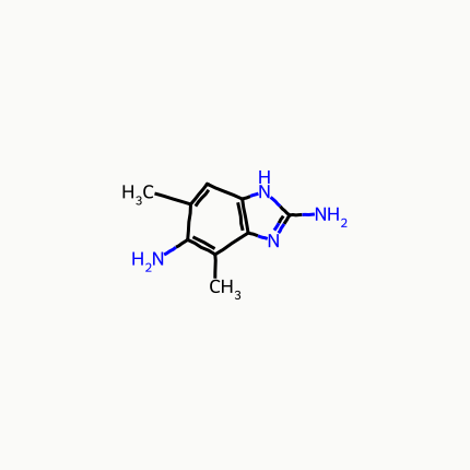 Cc1cc2[nH]c(N)nc2c(C)c1N